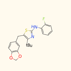 CC(C)(C)c1nc(Nc2ccccc2F)sc1Cc1ccc2c(c1)OCO2